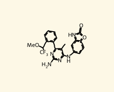 COC(c1ccccc1-c1nc(N)nc(Nc2ccc3oc(=O)[nH]c3c2)c1C)C(F)(F)F